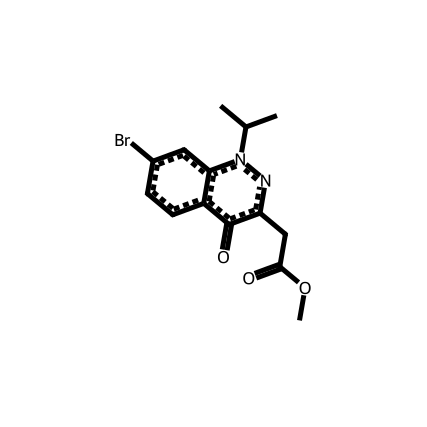 COC(=O)Cc1nn(C(C)C)c2cc(Br)ccc2c1=O